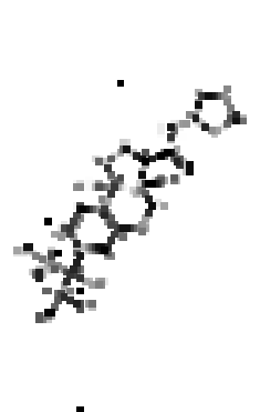 O=C(N[C@@H]1CCOC1)[C@@H]1CC[C@H]2c3ccc(C(F)(C(F)(F)F)C(F)(F)F)cc3CC[C@@H]12